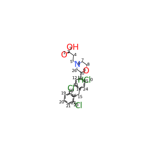 Cl.O=C(O)CCN1CCOC(c2ccc(Cc3c(Cl)cccc3Cl)cc2)C1